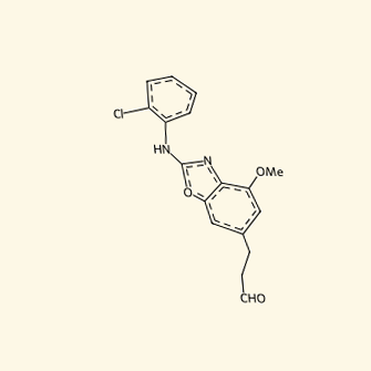 COc1cc(CCC=O)cc2oc(Nc3ccccc3Cl)nc12